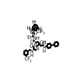 CC[C@H](NC(=O)[C@@H]1C[C@@](C)(CC(=O)Nc2ccc(-c3ccccc3)cc2)c2ncc(NCc3cccc(C(F)(F)F)c3)c(=O)n21)B1O[C@@H]2C[C@@H]3C[C@@H](C3(C)C)[C@]2(C)O1